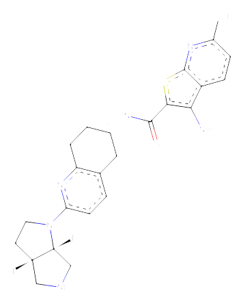 Cc1ccc2c(N)c(C(=O)N[C@H]3CCc4nc(N5CC[C@H]6CNC[C@H]65)ccc4C3)sc2n1